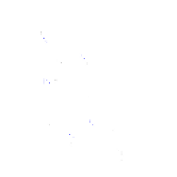 CC(C)=NC(=N)Nc1cnn(C(C)C(F)(F)F)c1